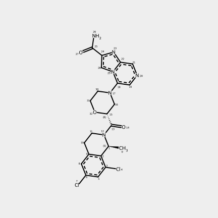 C[C@H]1c2c(Cl)cc(Cl)cc2CCN1C(=O)[C@H]1CN(c2cncc3nc(C(N)=O)cn23)CCO1